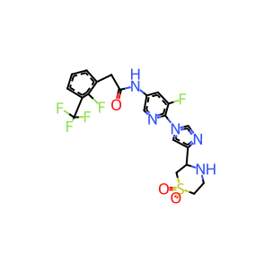 O=C(Cc1cccc(C(F)(F)F)c1F)Nc1cnc(-n2cnc(C3CS(=O)(=O)CCN3)c2)c(F)c1